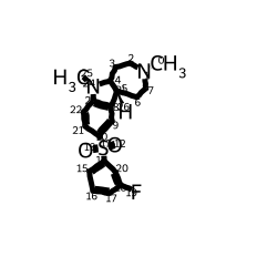 CN1CCC2[C@H](CC1)c1cc(S(=O)(=O)c3cccc(F)c3)ccc1N2C